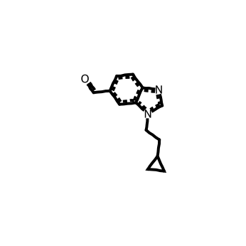 O=Cc1ccc2ncn(CCC3CC3)c2c1